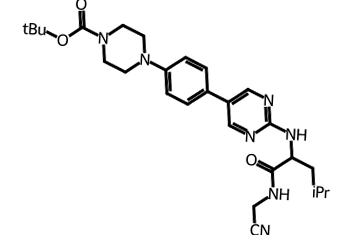 CC(C)CC(Nc1ncc(-c2ccc(N3CCN(C(=O)OC(C)(C)C)CC3)cc2)cn1)C(=O)NCC#N